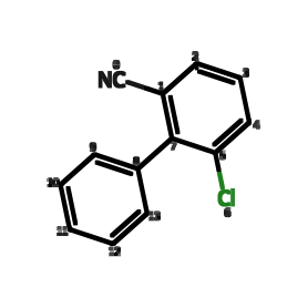 N#Cc1[c]ccc(Cl)c1-c1ccccc1